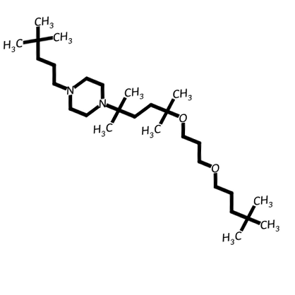 CC(C)(C)CCCOCCCOC(C)(C)CCC(C)(C)N1CCN(CCCC(C)(C)C)CC1